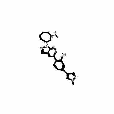 CN[C@H]1CCCC[C@@H](n2ncc3cc(-c4ccc(-c5cnn(C)c5)cc4O)nnc32)C1